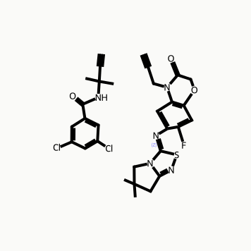 C#CC(C)(C)NC(=O)c1cc(Cl)cc(Cl)c1.C#CCN1C(=O)COc2cc(F)c(/N=c3\snc4n3CC(C)(C)C4)cc21